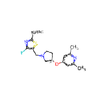 CC(=O)Nc1nc(F)c(CN2CC[C@H](Oc3cc(C)nc(C)c3)C2)s1